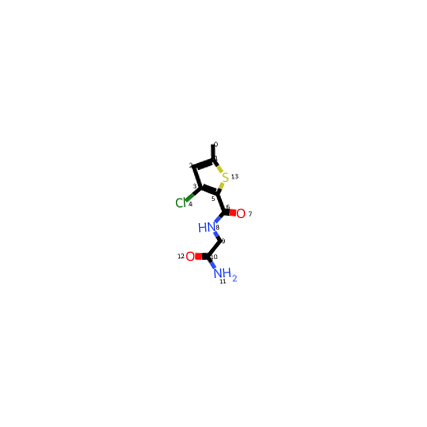 Cc1cc(Cl)c(C(=O)NCC(N)=O)s1